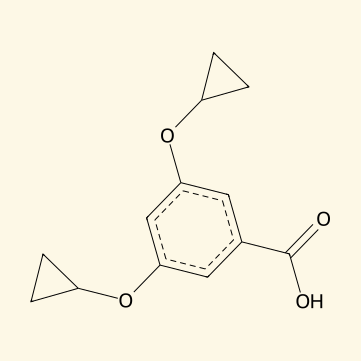 O=C(O)c1cc(OC2CC2)cc(OC2CC2)c1